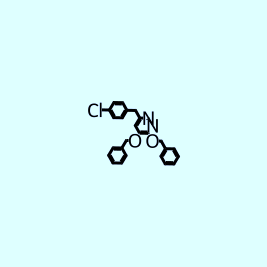 Clc1ccc(Cc2cc(OCc3ccccc3)c(OCc3ccccc3)nn2)cc1